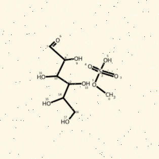 COS(=O)(=O)O.O=CC(O)C(O)C(O)C(O)CO